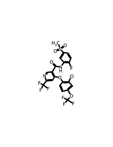 CS(=O)(=O)c1ccc(F)c(NC(=O)c2cnc(C(F)(F)F)cc2Oc2ccc(OC(F)(F)F)cc2Cl)c1